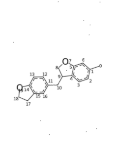 Cc1ccc2c(c1)OCC2Cc1ccc2c(c1)CCO2